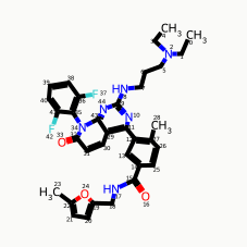 CCN(CC)CCCNc1nc(-c2cc(C(=O)NCc3ccc(C)o3)ccc2C)c2ccc(=O)n(-c3c(F)cccc3F)c2n1